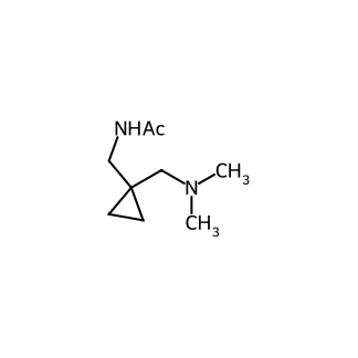 CC(=O)NCC1(CN(C)C)CC1